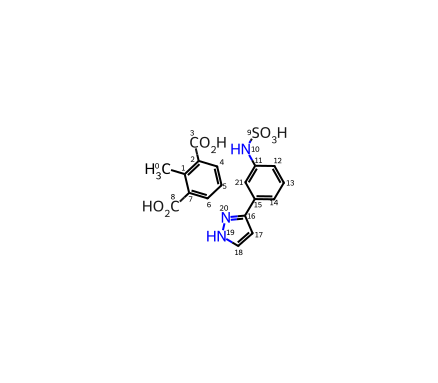 Cc1c(C(=O)O)cccc1C(=O)O.O=S(=O)(O)Nc1cccc(-c2cc[nH]n2)c1